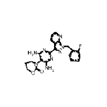 Nc1nc(-c2nn(Cc3ccccc3F)c3ncccc23)nc(N)c1N1CCCOC1=O